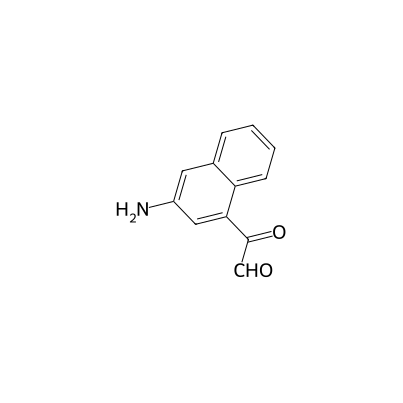 Nc1cc(C(=O)C=O)c2ccccc2c1